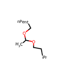 CCCCCCOC(C)OCCC(C)C